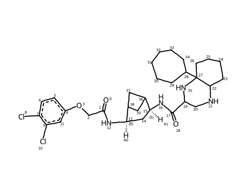 O=C(COc1ccc(Cl)c(Cl)c1)N[C@@H]1C[C@H](NC(=O)C2CNC3CCCCC3(C3CCCCCC3)N2)C2CC1C2